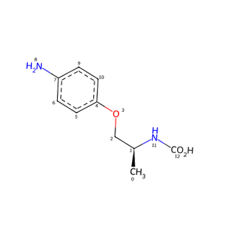 C[C@@H](COc1ccc(N)cc1)NC(=O)O